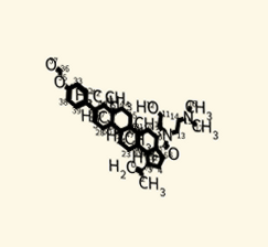 C=C(C)[C@@H]1CC[C@]2(C(=O)N(CCO)CCN(C)C)CC[C@]3(C)[C@H](CC[C@@H]4[C@@]5(C)CC=C(c6ccc(OC=O)cc6)C(C)(C)[C@@H]5CC[C@]43C)[C@@H]12